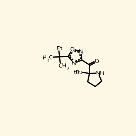 CCC(C)(C)c1nc(C(=O)C2(C(C)(C)C)CCCN2)no1